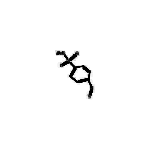 CNS(=O)(=O)c1ccc(N=S)cc1